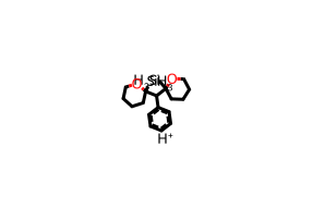 [H+].[SiH3]C1(C(c2ccccc2)C2([SiH3])CCCCO2)CCCCO1